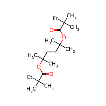 CCC(C)(C)C(=O)OC(C)(C)CCC(C)(C)OC(=O)C(C)(C)CC